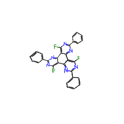 Fc1nc(-c2ccccc2)nc2c1c1nc(-c3ccccc3)nc(F)c1c1nc(-c3ccccc3)nc(F)c21